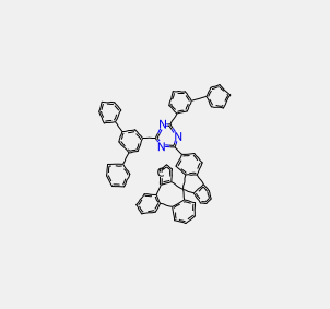 c1ccc(-c2cccc(-c3nc(-c4cc(-c5ccccc5)cc(-c5ccccc5)c4)nc(-c4ccc5c(c4)C4(c6ccccc6-c6ccccc6-c6ccccc64)c4ccccc4-5)n3)c2)cc1